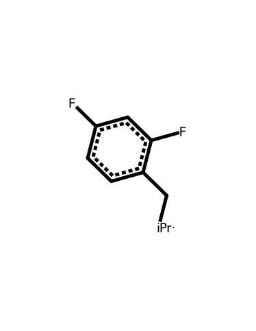 C[C](C)Cc1ccc(F)cc1F